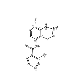 CCc1cnccc1C(=O)Nc1ccc(F)c2c1CCC(=O)N2